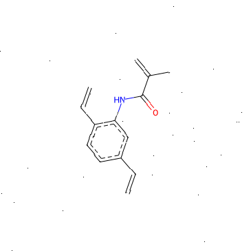 C=Cc1ccc(C=C)c(NC(=O)C(=C)C)c1